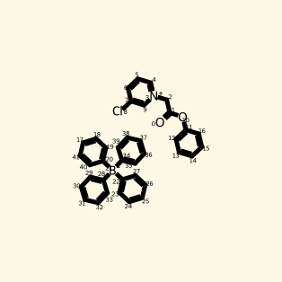 O=C(C[n+]1cccc(Cl)c1)Oc1ccccc1.c1ccc([B-](c2ccccc2)(c2ccccc2)c2ccccc2)cc1